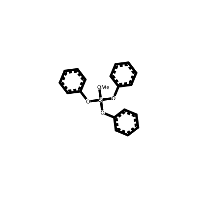 CO[Si](Oc1ccccc1)(Oc1ccccc1)Oc1ccccc1